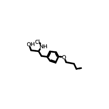 CCCCOc1ccc(CC(CO)NCl)cc1